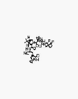 CC(C)(C)[C@H](NC(=O)N1CC2(CCC2(F)F)C1)C(=O)N1C[C@H]2[C@@H]([C@H]1C(=O)N[C@H](C#N)C[C@@H]1CC3(CC3)NC1=O)C2(C)C